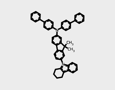 CC1(C)c2cc(N(c3ccc(-c4ccccc4)cc3)c3ccc(-c4ccccc4)cc3)ccc2-c2ccc(-n3c4c(c5ccccc53)CCCC4)cc21